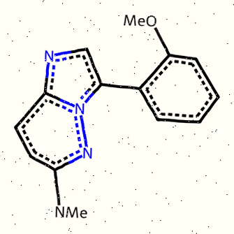 CNc1ccc2ncc(-c3ccccc3OC)n2n1